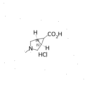 CN1C[C@@H]2C(C(=O)O)[C@@H]2C1.Cl